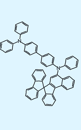 c1ccc(N(c2ccccc2)c2ccc(-c3ccc(N(c4ccccc4)c4cc5c(c6ccccc46)-c4ccccc4C54c5ccccc5-c5ccccc54)cc3)cc2)cc1